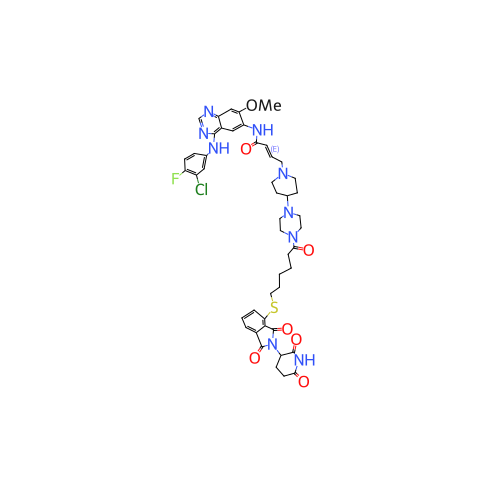 COc1cc2ncnc(Nc3ccc(F)c(Cl)c3)c2cc1NC(=O)/C=C/CN1CCC(N2CCN(C(=O)CCCCCSc3cccc4c3C(=O)N(C3CCC(=O)NC3=O)C4=O)CC2)CC1